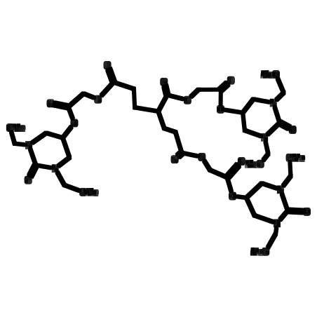 COCN1CC(OC(=O)COC(=O)CCC(CCC(=O)OCC(=O)OC2CN(COC)C(=O)N(COC)C2)C(=O)OCC(=O)OC2CN(COC)C(=O)N(COC)C2)CN(COC)C1=O